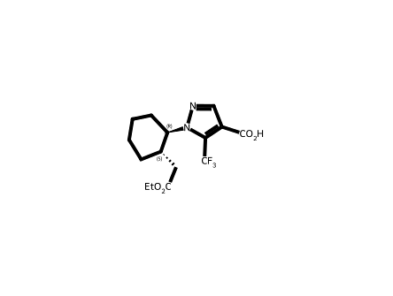 CCOC(=O)C[C@@H]1CCCC[C@H]1n1ncc(C(=O)O)c1C(F)(F)F